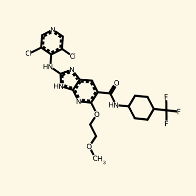 COCCOc1nc2[nH]c(Nc3c(Cl)cncc3Cl)nc2cc1C(=O)NC1CCC(C(F)(F)F)CC1